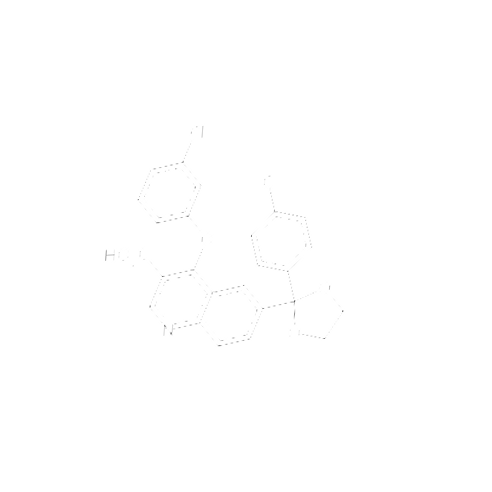 O=C(O)c1cnc2ccc(C3(c4ccc(Cl)cc4)OCCO3)cc2c1Oc1cccc(Cl)c1